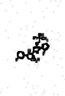 CC(C)C(C)(O)COc1cc(C(=O)NC(CC(=O)O)c2cccc(F)c2)nn1-c1ccccc1F